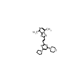 Cc1ncc(C)n2nc(/C=C/c3nc(N4CCCC4)cc(N4CCOCC4)n3)nc12